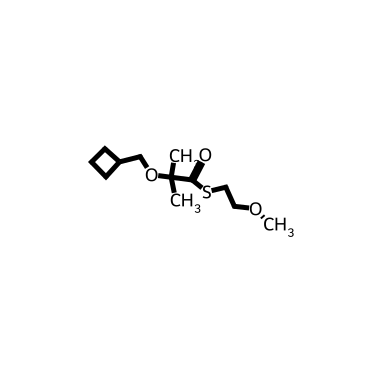 COCCSC(=O)C(C)(C)OCC1CCC1